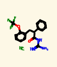 Cl.N=C(N)NC(=O)C(Cc1ccccc1OC(F)(F)F)c1ccccc1